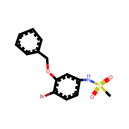 CS(=O)(=O)Nc1ccc(Br)c(OCc2ccccc2)c1